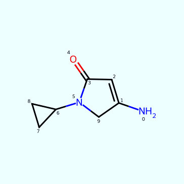 NC1=CC(=O)N(C2CC2)C1